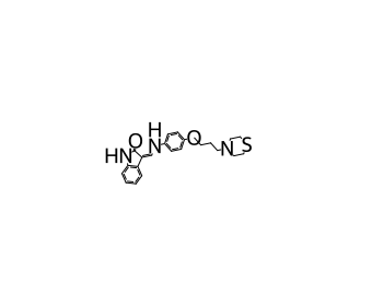 O=C1Nc2ccccc2C1=CNc1ccc(OCCCN2CCSCC2)cc1